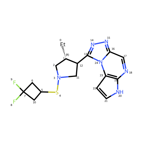 CC[C@H]1CN(SC2CC(F)(F)C2)CC1c1nnc2cnc3[nH]ccc3n12